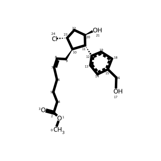 COC(=O)CCC/C=C\C[C@@H]1[C@@H](c2ccc(CO)cc2)[C@H](O)C[C@H]1Cl